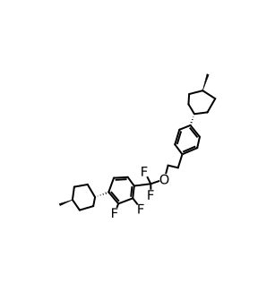 C[C@H]1CC[C@H](c2ccc(CCOC(F)(F)c3ccc([C@H]4CC[C@H](C)CC4)c(F)c3F)cc2)CC1